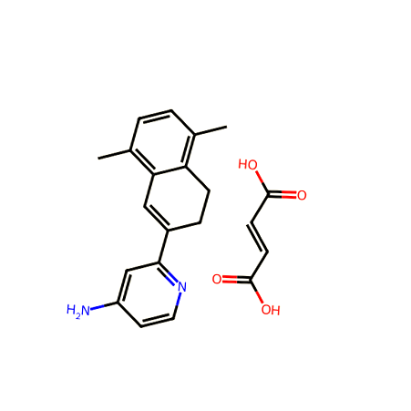 Cc1ccc(C)c2c1C=C(c1cc(N)ccn1)CC2.O=C(O)C=CC(=O)O